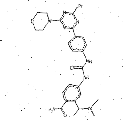 CC(C)c1nc(-c2ccc(NC(=O)Nc3ccc(C(N)=O)c(C(C)N(C)C)c3)cc2)nc(N2CCOCC2)n1